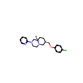 Fc1ccc(OC[C@@H]2CC[C@H]3CN(c4ccccn4)CCN3C2)cc1